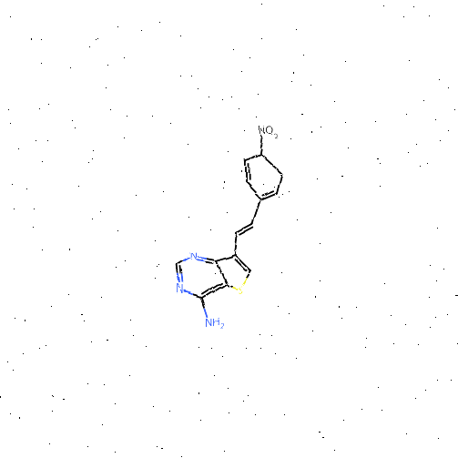 Nc1ncnc2c(/C=C/C3=CCC([N+](=O)[O-])C=C3)csc12